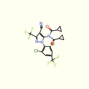 N#Cc1c(C(F)(F)F)nn(-c2c(Cl)cc(C(F)(F)F)cc2Cl)c1N(C(=O)C1CC1)C(=O)C1CC1